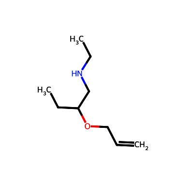 C=CCOC(CC)CNCC